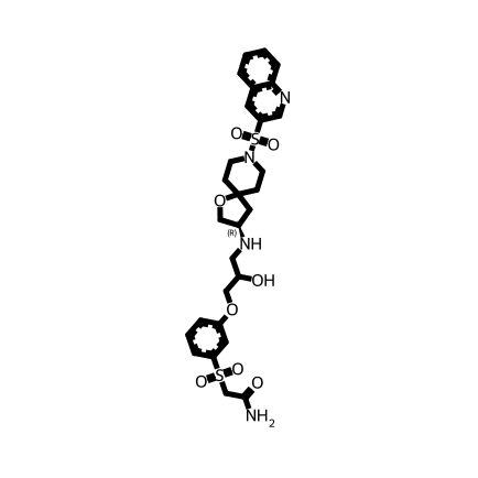 NC(=O)CS(=O)(=O)c1cccc(OCC(O)CN[C@H]2COC3(CCN(S(=O)(=O)c4cnc5ccccc5c4)CC3)C2)c1